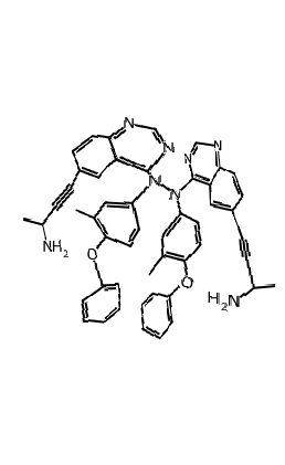 Cc1cc(N(c2ncnc3ccc(C#CC(C)N)cc23)N(c2ccc(Oc3ccccc3)c(C)c2)c2ncnc3ccc(C#CC(C)N)cc23)ccc1Oc1ccccc1